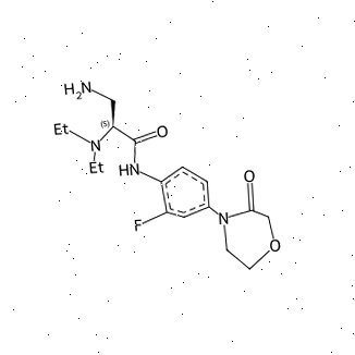 CCN(CC)[C@@H](CN)C(=O)Nc1ccc(N2CCOCC2=O)cc1F